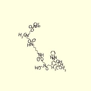 CNC(=O)OCCN(C)CCOC(=O)NCCCCCCNC(=O)OCCN(CCO)C(=O)CCc1cc(-n2nc3ccccc3n2)c(O)c(C(C)(C)C)c1